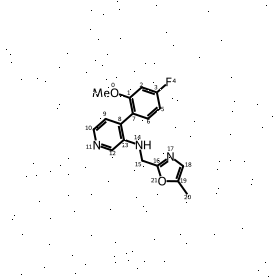 COc1cc(F)ccc1-c1ccncc1NCc1ncc(C)o1